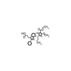 CCCCc1nc(SC)c(C(=O)OCC)n1Cc1ccn2c(CCC(=O)O)c(-c3ccccc3)nc2n1